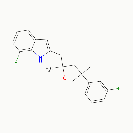 CC(C)(CC(O)(Cc1cc2cccc(F)c2[nH]1)C(F)(F)F)c1cccc(F)c1